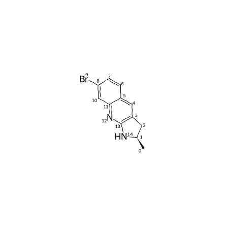 C[C@@H]1Cc2cc3ccc(Br)cc3nc2N1